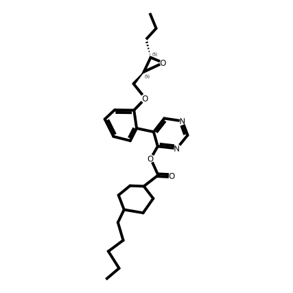 CCCCCC1CCC(C(=O)Oc2ncncc2-c2ccccc2OC[C@@H]2O[C@H]2CCC)CC1